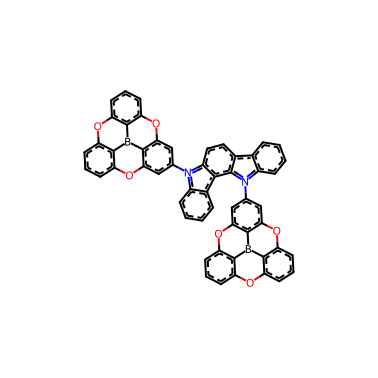 c1cc2c3c(c1)Oc1cc(-n4c5ccccc5c5c4ccc4c6ccccc6n(-c6cc7c8c(c6)Oc6cccc9c6B8c6c(cccc6O7)O9)c45)cc4c1B3c1c(cccc1O4)O2